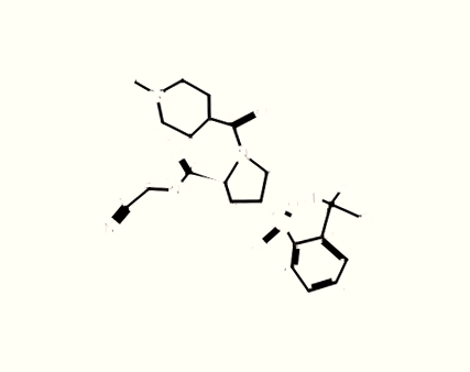 CN1CCC(C(=O)N2C[C@H](S(=O)(=O)c3ccccc3C(F)(F)F)C[C@H]2C(=O)NCC#N)CC1